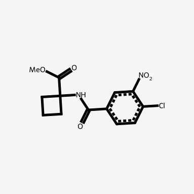 COC(=O)C1(NC(=O)c2ccc(Cl)c([N+](=O)[O-])c2)CCC1